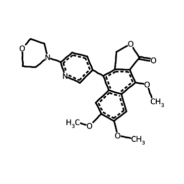 COc1cc2c(OC)c3c(c(-c4ccc(N5CCOCC5)nc4)c2cc1OC)COC3=O